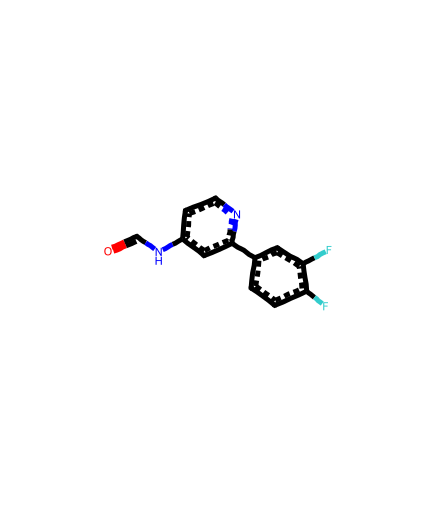 O=CNc1ccnc(-c2ccc(F)c(F)c2)c1